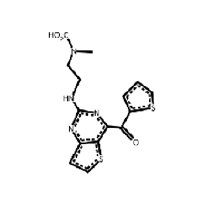 CN(CCNc1nc(C(=O)c2cccs2)c2sccc2n1)C(=O)O